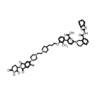 Cc1c(OCCCC2CCN(CCN3CCN(c4cc5c(cc4F)C(=O)N(C4CCC(=O)NC4=O)C5=O)CC3)CC2)cccc1-c1ccc(N2CCc3cccc(C(=O)Nc4nc5ccccc5s4)c3C2)nc1C(=O)O